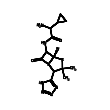 CC1(C)S[C@H]2C(NC(=O)C(N)C3CC3)C(=O)N2C1c1nnn[nH]1